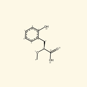 CO[C@@H](Cc1ccccc1O)C(=O)O